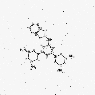 N[C@@H]1C[C@H](N)CN(c2nc(NC3Cc4ccccc4C3)nc(N3C[C@H](N)C[C@H](N)C3)n2)C1